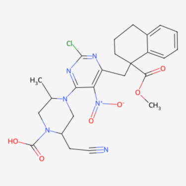 COC(=O)C1(Cc2nc(Cl)nc(N3CC(CC#N)N(C(=O)O)CC3C)c2[N+](=O)[O-])CCCc2ccccc21